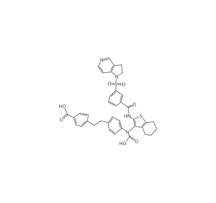 O=C(O)c1ccc(CCc2ccc(N(C(=O)O)c3c(NC(=O)c4cccc(S(=O)(=O)N5CCc6cnccc65)c4)sc4c3CCCC4)cc2)cc1